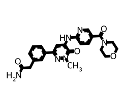 Cn1nc(-c2cccc(CC(N)=O)c2)cc(Nc2ccc(C(=O)N3CCOCC3)cn2)c1=O